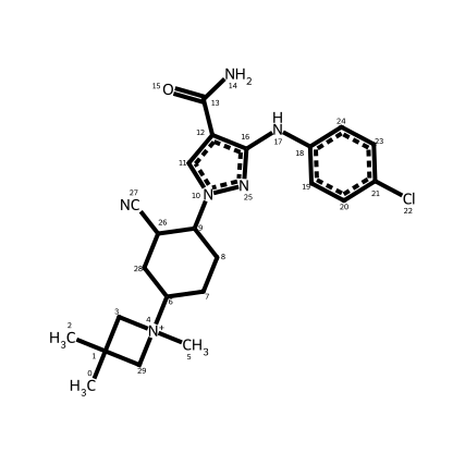 CC1(C)C[N+](C)(C2CCC(n3cc(C(N)=O)c(Nc4ccc(Cl)cc4)n3)C(C#N)C2)C1